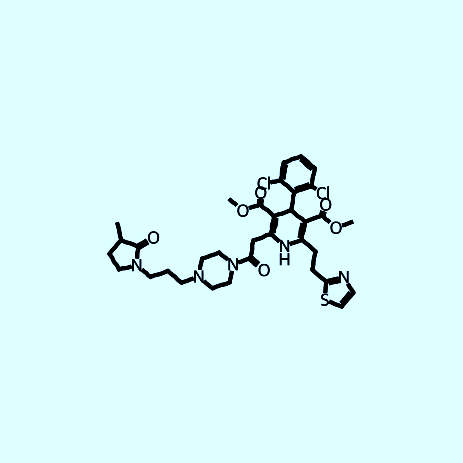 COC(=O)C1=C(CCc2nccs2)NC(CC(=O)N2CCN(CCCN3CCC(C)C3=O)CC2)=C(C(=O)OC)C1c1c(Cl)cccc1Cl